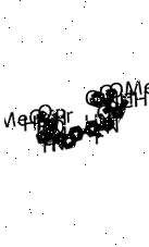 COC(=O)NC(C(=O)N1C2C(C)C2C[C@H]1c1ncc(-c2ccc(-c3ccc4c(ccc5nc([C@@H]6[C@H]7CC[C@H](C7)N6C(=O)[C@@H](NC(=O)OC)C(C)C)[nH]c54)c3)cc2F)[nH]1)C1CCOCC1